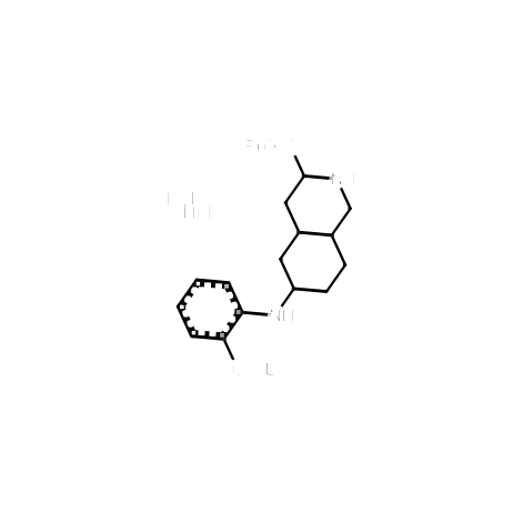 CCOC(=O)c1ccccc1NC1CCC2CNC(C(=O)OCC)CC2C1.Cl.Cl